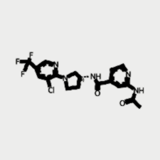 CC(=O)Nc1cc(C(=O)N[C@@H]2CCN(c3ncc(C(F)(F)F)cc3Cl)C2)ccn1